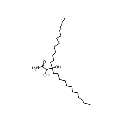 CCCCCCCCCCCCC(O)(CCCCCCCCCCCC)C(O)C(N)=O